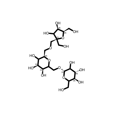 OCC1O[C@H](OCC2O[C@H](COC[C@]3(CO)O[C@H](CO)[C@H](O)C3O)C(O)[C@H](O)[C@@H]2O)C(O)[C@H](O)[C@H]1O